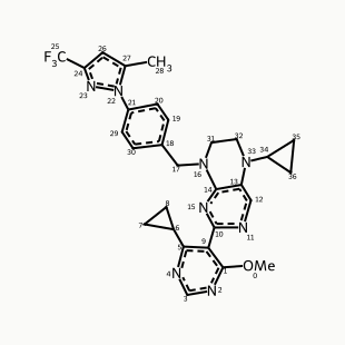 COc1ncnc(C2CC2)c1-c1ncc2c(n1)N(Cc1ccc(-n3nc(C(F)(F)F)cc3C)cc1)CCN2C1CC1